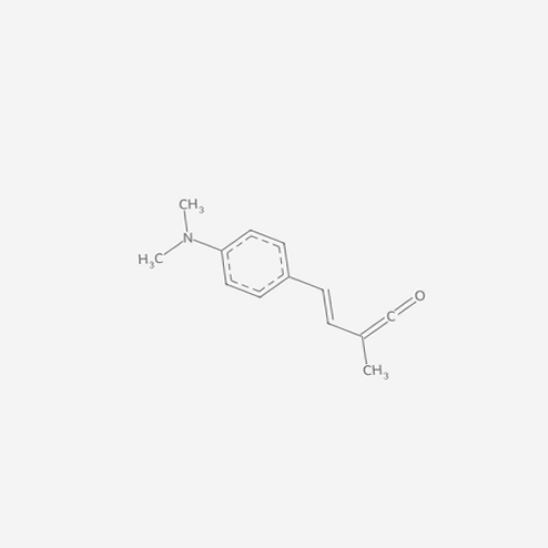 CC(=C=O)/C=C/c1ccc(N(C)C)cc1